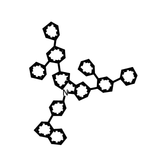 c1ccc(-c2ccc(-c3ccc4c(c3)c3cc(-c5ccc(-c6ccccc6)cc5-c5ccccc5)ccc3n4-c3ccc(-c4cccc5ccccc45)cc3)c(-c3ccccc3)c2)cc1